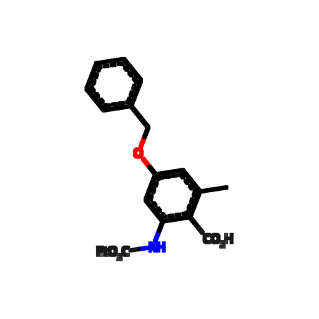 CCOC(=O)Nc1cc(OCc2ccccc2)cc(C)c1C(=O)O